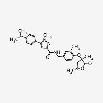 CCCC(C)(Oc1ccc(CNC(=O)c2cc(-c3ccc(C(C)C)cc3)n(C)n2)cc1C)C(=O)O